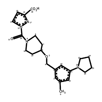 Cc1cc(COC2CCN(C(=O)n3ccc(C(=O)O)n3)CC2)cc(N2CCCC2)c1